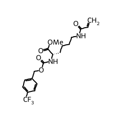 C=CC(=O)NCCCC[C@H](NC(=O)OCc1ccc(C(F)(F)F)cc1)C(=O)OC